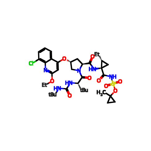 CCOc1cc(O[C@@H]2C[C@@H](C(=O)N[C@]3(C(=O)NS(=O)(=O)OC4(C)CC4)C[C@H]3CC)N(C(=O)[C@@H](NC(=O)NC(C)(C)C)C(C)(C)C)C2)c2cccc(Cl)c2n1